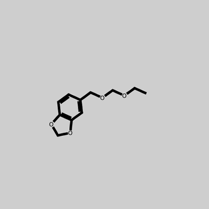 CCOCOCc1ccc2c(c1)OCO2